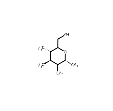 CC1[C@@H](C)[C@H](C)C(CS)O[C@@H]1C